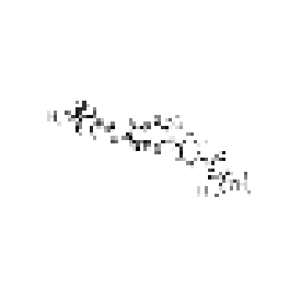 CC(C)(C)OC(=O)N1CC=C(c2cc3nn(COCC[Si](C)(C)C)cc3cc2F)CC1